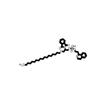 CCCCCCCCCCCCCCCCCCOCC(COP(=O)(O)OCCc1nccc2ccccc12)N1C(=O)c2ccccc2C1=O